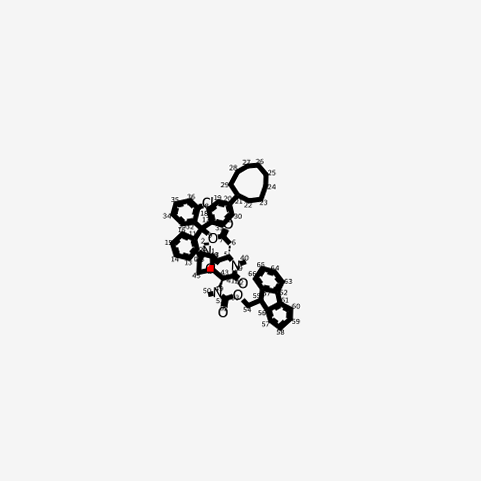 CN(C)C(=O)[C@H](CC(=O)OC(c1ccccc1)(c1ccc(C2CCCCCCCC2)cc1)c1ccccc1Cl)N(C)C(=O)[C@H](C1CCCC1)N(C)C(=O)OCC1c2ccccc2-c2ccccc21